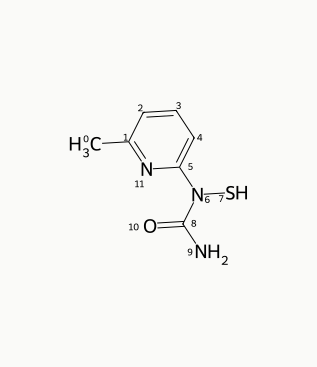 Cc1cccc(N(S)C(N)=O)n1